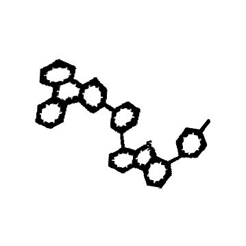 Cc1ccc(-c2cccc3c2sc2c(-c4cccc(-c5ccc6c7ccccc7c7ccccc7c6c5)c4)cccc23)cc1